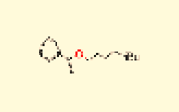 C=C(OCCCCC(C)CC)c1ccccc1